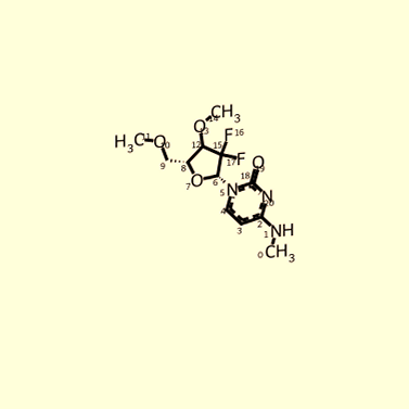 CNc1ccn([C@@H]2O[C@H](COC)C(OC)C2(F)F)c(=O)n1